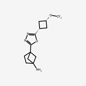 NC12CCC(c3nnc([C@H]4C[C@@H](OC(F)(F)F)C4)o3)(C1)C2